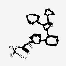 CC(C)(C)OC(=O)CNc1cccc(-c2ccccc2-c2cc(-c3ccccc3)c(-c3ccccc3)s2)c1